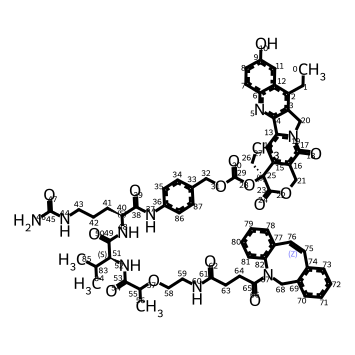 CCc1c2c(nc3ccc(O)cc13)-c1cc3c(c(=O)n1C2)COC(=O)[C@@]3(CC)OC(=O)OCc1ccc(NC(=O)[C@H](CCCNC(N)=O)NC(=O)[C@@H](NC(=O)C(C)OCCNC(=O)CCC(=O)N2Cc3ccccc3/C=C\c3ccccc32)C(C)C)cc1